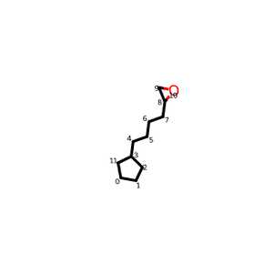 C1CCC(CCCCC2CO2)C1